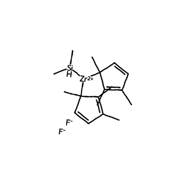 CC1=C(C)[C](C)([Zr+2]([SiH](C)C)[C]2(C)C=CC(C)=C2C)C=C1.[F-].[F-]